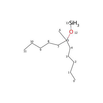 CCCCCC(C)(CCCCC)O[SiH3]